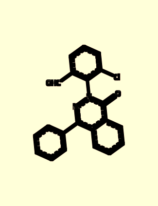 O=Cc1cccc(Cl)c1-n1nc(-c2ccccc2)c2ccccc2c1=O